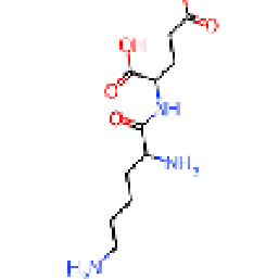 NCCCCC(N)C(=O)NC(CCC(=O)O)C(=O)O